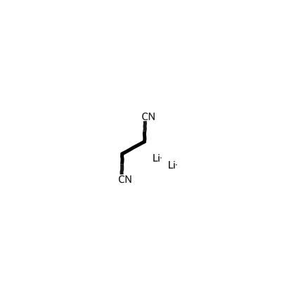 N#CCCC#N.[Li].[Li]